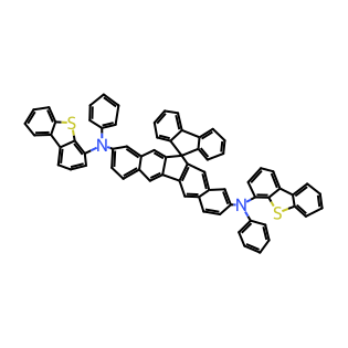 c1ccc(N(c2ccc3cc4c(cc3c2)C2(c3ccccc3-c3ccccc32)c2cc3cc(N(c5ccccc5)c5cccc6c5sc5ccccc56)ccc3cc2-4)c2cccc3c2sc2ccccc23)cc1